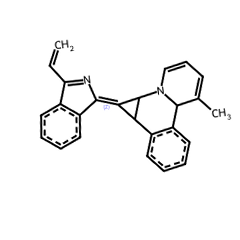 C=CC1=N/C(=C2/C3c4ccccc4C4C(C)=CC=CN4C23)c2ccccc21